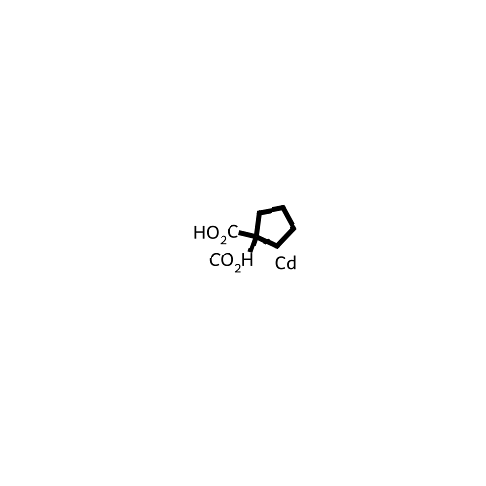 O=C(O)C1(C(=O)O)CCCC1.[Cd]